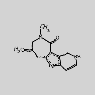 C=C1CN(C)C(=O)c2c3c(nn2C1)C=CNC3